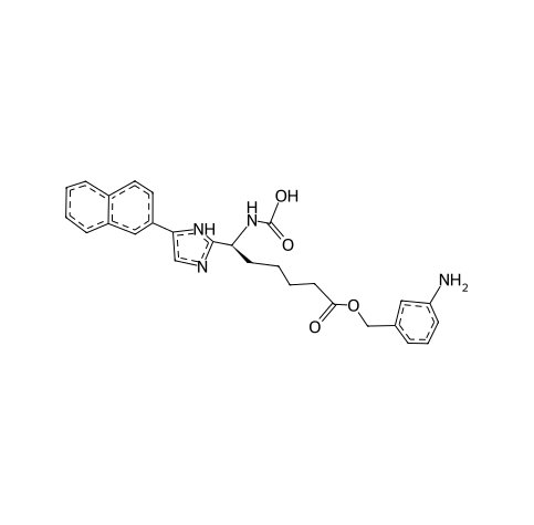 Nc1cccc(COC(=O)CCCC[C@H](NC(=O)O)c2ncc(-c3ccc4ccccc4c3)[nH]2)c1